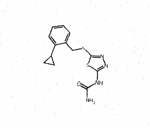 NC(=O)Nc1nnc(SCc2ccccc2C2CC2)s1